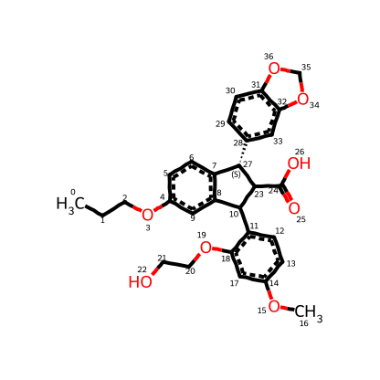 CCCOc1ccc2c(c1)C(c1ccc(OC)cc1OCCO)C(C(=O)O)[C@H]2c1ccc2c(c1)OCO2